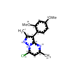 COc1ccc(-c2c(C)nn3c(Cl)cc(C)nc23)c(OC)c1